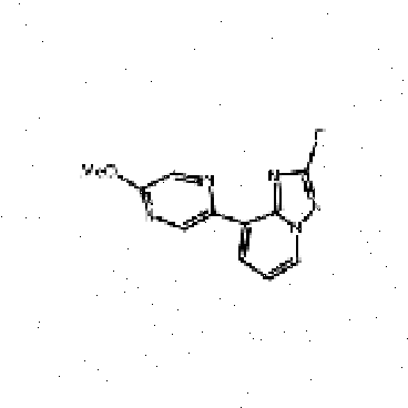 COc1cnc(-c2cccn3nc(Cl)nc23)cn1